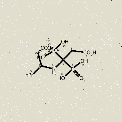 CCCC(CC(=O)O)NC(CC(=O)O)(P(=O)(O)O)P(=O)(O)O